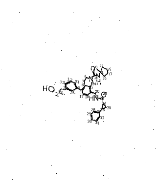 CC1(NC(=O)N2CCc3c(-c4cccc(C(=O)O)c4)ccc(CNC(=O)[C@@H]4C[C@H]4c4ccccc4)c3C2)CCCC1